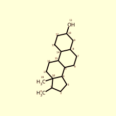 CC1CCC2C3CCC4CC(O)CCC4C3CCC12C